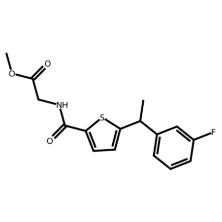 COC(=O)CNC(=O)c1ccc(C(C)c2cccc(F)c2)s1